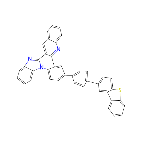 c1ccc2nc3c4cc(-c5ccc(-c6ccc7sc8ccccc8c7c6)cc5)ccc4n4c5ccccc5nc4c3cc2c1